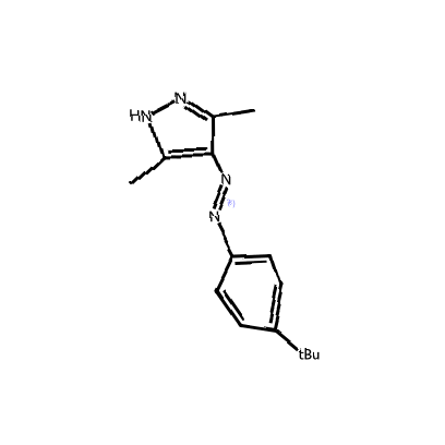 Cc1n[nH]c(C)c1/N=N/c1ccc(C(C)(C)C)cc1